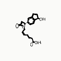 O=C(O)CCC/C=C\CN1C(=O)C[C@@H]1c1ccc2c(c1)CCC2O